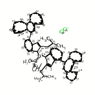 CC(C)CC1=Cc2c(-c3cc4ccccc4c4ccccc34)cccc2[CH]1[Zr+2]([CH]1C(CC(C)C)=Cc2c(-c3cc4ccccc4c4ccccc34)cccc21)=[Si](C)C.[Cl-].[Cl-]